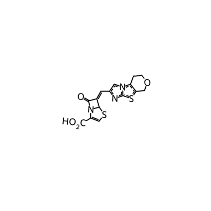 O=C(O)C1=CSC2/C(=C\c3cn4c5c(sc4n3)COCC5)C(=O)N12